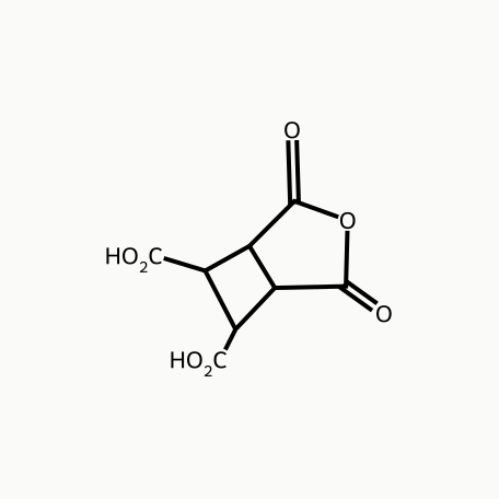 O=C(O)C1C(C(=O)O)C2C(=O)OC(=O)C12